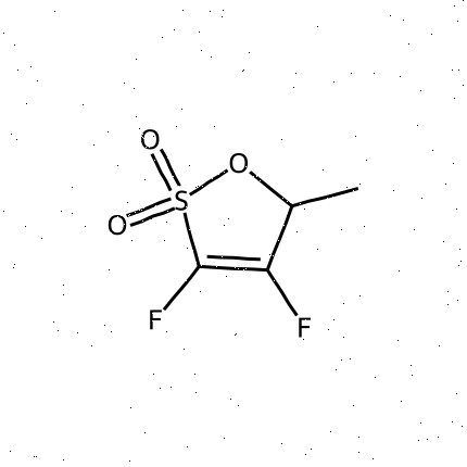 CC1OS(=O)(=O)C(F)=C1F